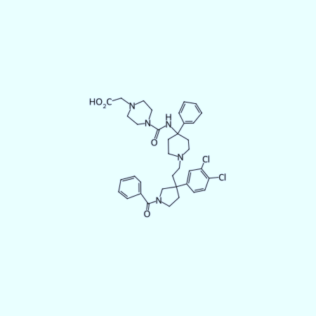 O=C(O)CN1CCN(C(=O)NC2(c3ccccc3)CCN(CCC3(c4ccc(Cl)c(Cl)c4)CCN(C(=O)c4ccccc4)C3)CC2)CC1